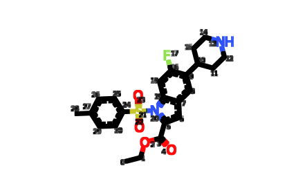 CCOC(=O)c1cc2cc(C3CCNCC3)c(F)cc2n1S(=O)(=O)c1ccc(C)cc1